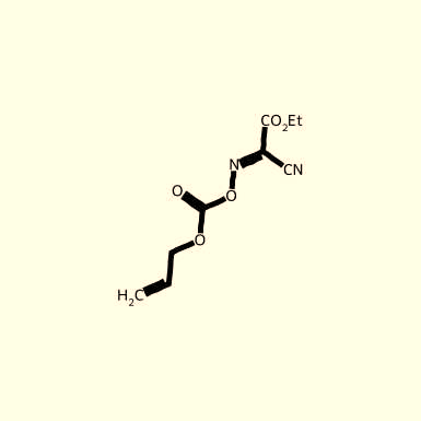 C=CCOC(=O)O/N=C(\C#N)C(=O)OCC